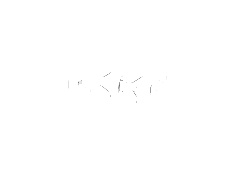 COc1ccc2c(c1)-c1ccc(CO)cc1-2